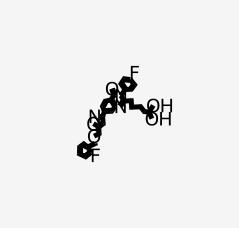 O=c1c2ccc(-c3cc(COCc4ccccc4F)on3)cc2nc(CCCCC(O)O)n1-c1ccc(F)cc1